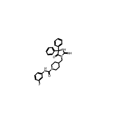 N=C1NC(c2ccccc2)(c2ccccc2)C(=O)N1CC1CCN(C(=O)Nc2cccc(F)c2)CC1